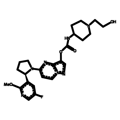 COc1ncc(F)cc1[C@H]1CCCN1c1ccn2ncc(OC(=O)NC3CCN(CCO)CC3)c2n1